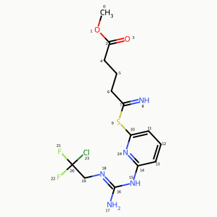 COC(=O)CCCC(=N)Sc1cccc(NC(N)=NCC(F)(F)Cl)n1